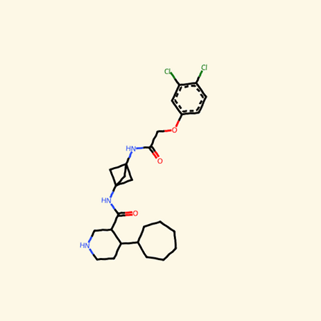 O=C(COc1ccc(Cl)c(Cl)c1)NC12CC(NC(=O)C3CNCCC3C3CCCCCC3)(C1)C2